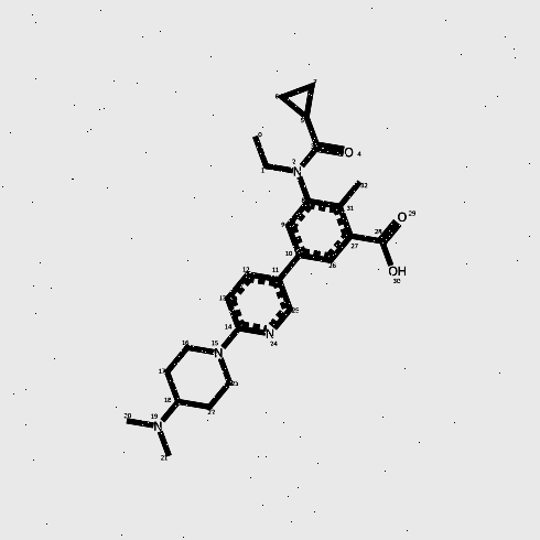 CCN(C(=O)C1CC1)c1cc(-c2ccc(N3CCC(N(C)C)CC3)nc2)cc(C(=O)O)c1C